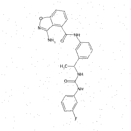 CC(NC(=O)Nc1cccc(F)c1)c1cccc(NC(=O)c2cccc3onc(N)c23)c1